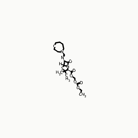 CCOC(=O)OCOC(=O)[C@@H]1N2C(=O)[C@@H](/N=C/N3CCCCCCC3)[C@H]2SC1(C)C